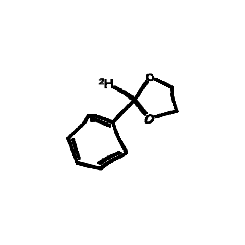 [2H]C1(c2ccccc2)OCCO1